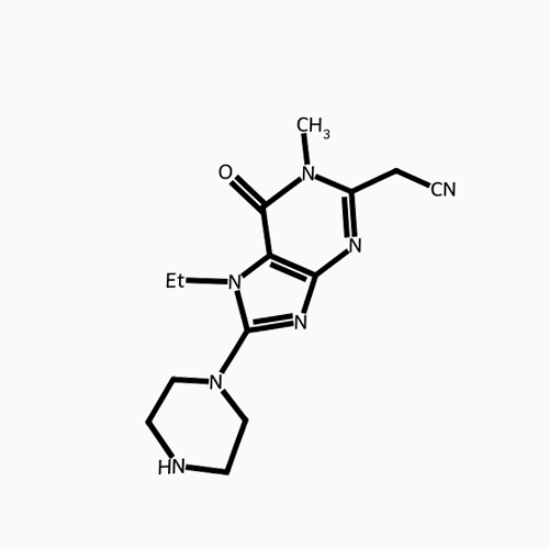 CCn1c(N2CCNCC2)nc2nc(CC#N)n(C)c(=O)c21